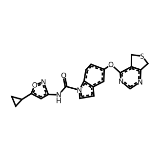 O=C(Nc1cc(C2CC2)on1)n1ccc2cc(Oc3ncnc4c3CSC4)ccc21